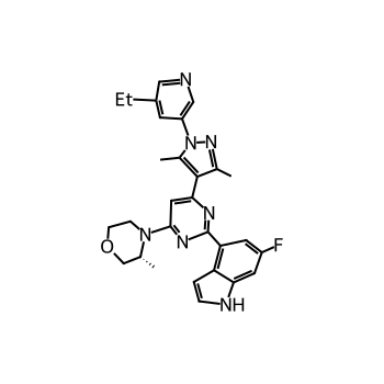 CCc1cncc(-n2nc(C)c(-c3cc(N4CCOC[C@H]4C)nc(-c4cc(F)cc5[nH]ccc45)n3)c2C)c1